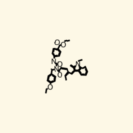 C=c1\c(=C/C(=C\C)/C=C2/O/C(=N\c3ccc(C(=O)OCC)cc3)N(Cc3ccc(OCC)cc3)C2=O)c2ccccc2n1CC